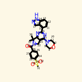 C[C@@H]1COCCN1c1nc(-c2cccc3[nH]ncc23)nc2c1CN(C(=O)c1ccc(S(C)(=O)=O)cc1)C2(C)C